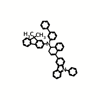 CC1(C)c2ccccc2-c2ccc(N(c3cccc(-c4ccccc4)c3)C3CC=C(c4ccc5c(c4)c4ccccc4n5-c4ccccc4)c4ccccc43)cc21